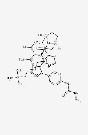 CNC(=O)Nc1ccc(-c2cnn3c(N)c(C(C)=O)c([C@H]4C[C@H]5CC[C@@H](C4)N5C(=O)c4ncnn4COCC[Si](C)(C)C)nc23)cn1